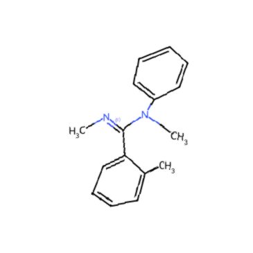 C/N=C(\c1ccccc1C)N(C)c1ccccc1